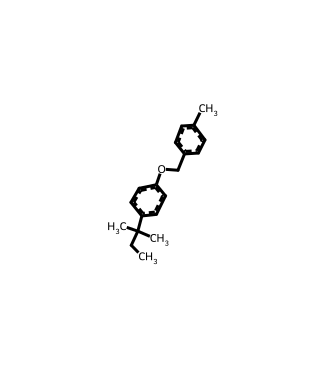 CCC(C)(C)c1ccc(OCc2ccc(C)cc2)cc1